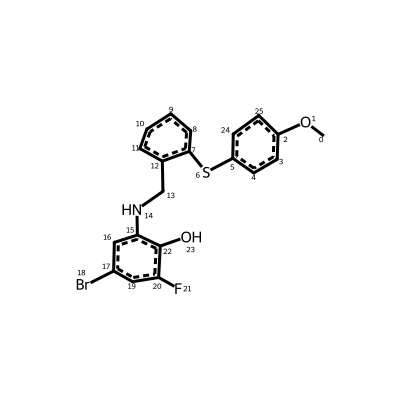 COc1ccc(Sc2ccccc2CNc2cc(Br)cc(F)c2O)cc1